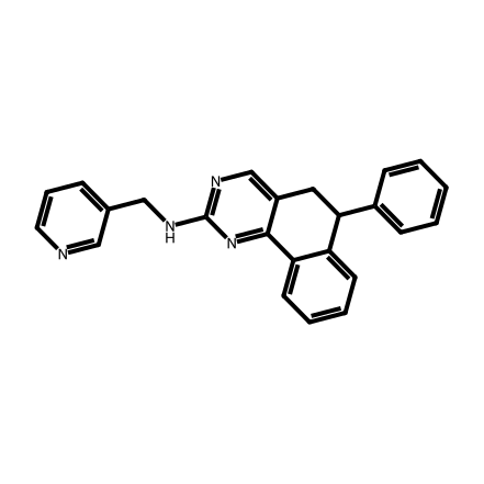 c1ccc(C2Cc3cnc(NCc4cccnc4)nc3-c3ccccc32)cc1